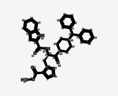 COC(=O)c1cnnn1C[C@H](NC(=O)c1cc2ccccc2[nH]1)C(=O)N1CCN(C(c2ccccc2)c2ccccc2)CC1